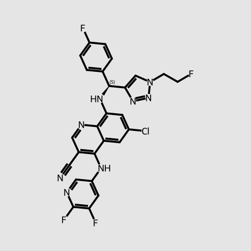 N#Cc1cnc2c(N[C@@H](c3ccc(F)cc3)c3cn(CCF)nn3)cc(Cl)cc2c1Nc1cnc(F)c(F)c1